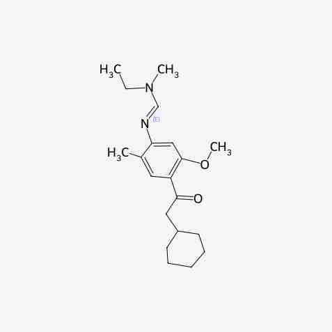 CCN(C)/C=N/c1cc(OC)c(C(=O)CC2CCCCC2)cc1C